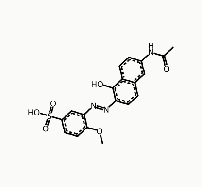 COc1ccc(S(=O)(=O)O)cc1N=Nc1ccc2cc(NC(C)=O)ccc2c1O